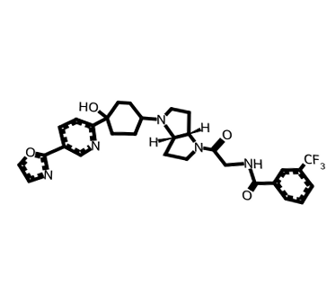 O=C(NCC(=O)N1CC[C@H]2[C@@H]1CCN2C1CCC(O)(c2ccc(-c3ncco3)cn2)CC1)c1cccc(C(F)(F)F)c1